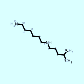 CC(C)CCCNCCCCCCN